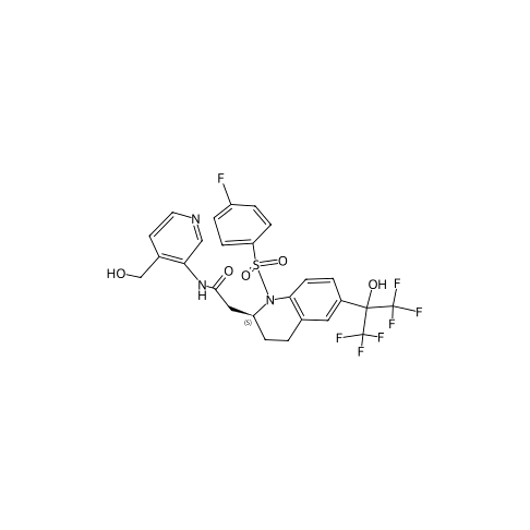 O=C(C[C@@H]1CCc2cc(C(O)(C(F)(F)F)C(F)(F)F)ccc2N1S(=O)(=O)c1ccc(F)cc1)Nc1cnccc1CO